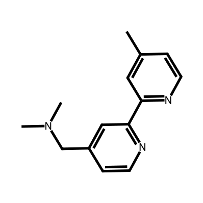 Cc1ccnc(-c2cc(CN(C)C)ccn2)c1